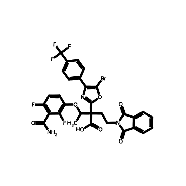 CC(Oc1ccc(F)c(C(N)=O)c1F)C(CCN1C(=O)c2ccccc2C1=O)(C(=O)O)c1nc(-c2ccc(C(F)(F)F)cc2)c(Br)o1